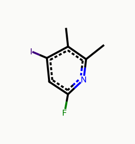 Cc1nc(F)cc(I)c1C